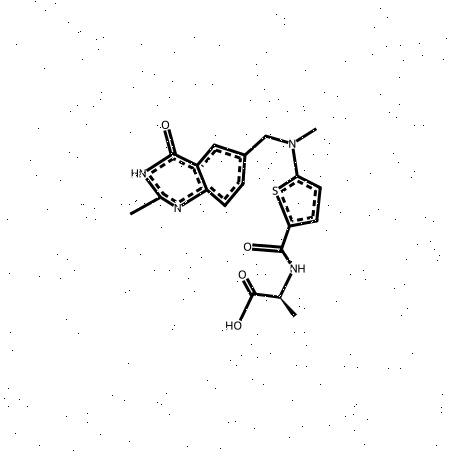 Cc1nc2ccc(CN(C)c3ccc(C(=O)N[C@@H](C)C(=O)O)s3)cc2c(=O)[nH]1